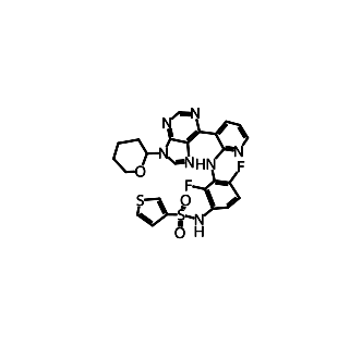 O=S(=O)(Nc1ccc(F)c(Nc2ncccc2-c2ncnc3c2ncn3C2CCCCO2)c1F)c1ccsc1